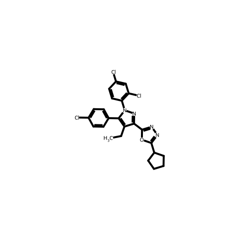 CCc1c(-c2nnc(C3CCCC3)o2)nn(-c2ccc(Cl)cc2Cl)c1-c1ccc(Cl)cc1